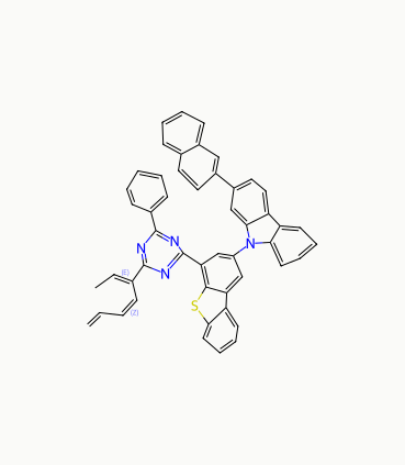 C=C/C=C\C(=C/C)c1nc(-c2ccccc2)nc(-c2cc(-n3c4ccccc4c4ccc(-c5ccc6ccccc6c5)cc43)cc3c2sc2ccccc23)n1